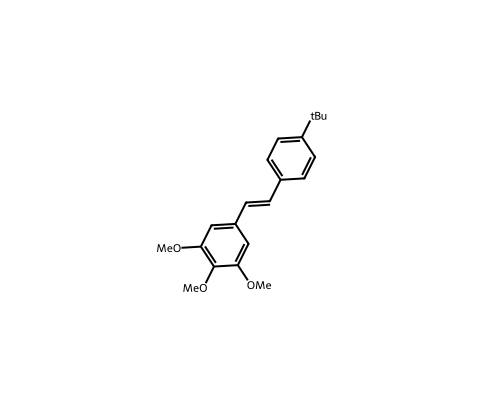 COc1cc(C=Cc2ccc(C(C)(C)C)cc2)cc(OC)c1OC